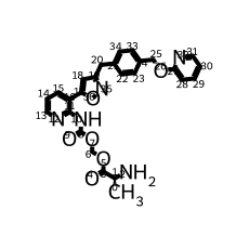 C[C@H](N)C(=O)OCOC(=O)Nc1ncccc1-c1cc(Cc2ccc(COc3ccccn3)cc2)no1